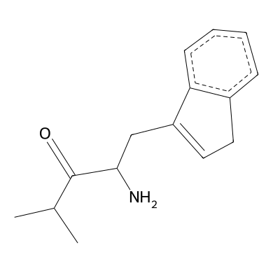 CC(C)C(=O)C(N)CC1=CCc2ccccc21